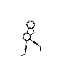 CCC#Cc1ccc2c(c1C#CCC)Cc1ccccc1-2